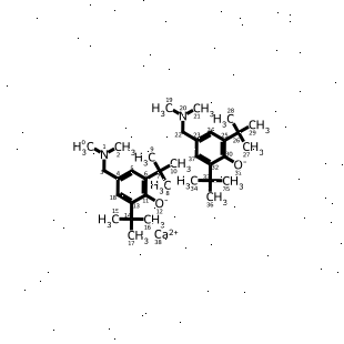 CN(C)Cc1cc(C(C)(C)C)c([O-])c(C(C)(C)C)c1.CN(C)Cc1cc(C(C)(C)C)c([O-])c(C(C)(C)C)c1.[Ca+2]